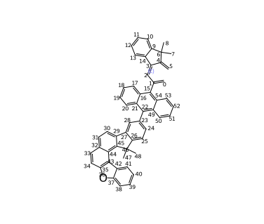 C=C(/C=C1\C(=C)C(C)(C)c2ccccc21)c1c2ccccc2c(-c2ccc3c(c2)-c2ccc4ccc5oc6ccccc6c5c4c2C3(C)C)c2ccccc12